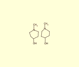 CN1CCC(O)CC1.CN1CCC(O)CC1